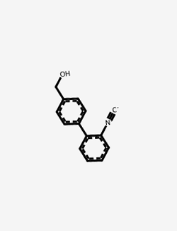 [C-]#[N+]c1ccccc1-c1ccc(CO)cc1